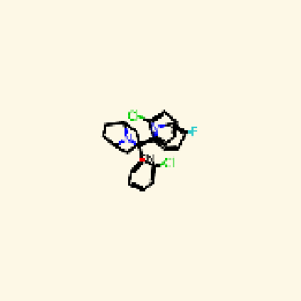 N#CC1(c2ccc(F)cn2)CC2CCC(C1)N2C(c1ccccc1Cl)c1ccccc1Cl